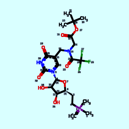 C=P(C)(C)CC[C@H]1O[C@@H](n2cc(CN(CC(=O)OC(C)(C)C)C(=O)C(F)(F)F)c(=O)[nH]c2=O)C(O)[C@@H]1O